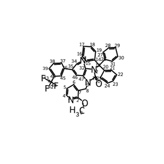 COc1ncccc1Cn1c(=O)n(C(c2ccccc2)(c2ccccc2)c2ccccc2)c2ncc(-c3cccc(C(F)(F)F)c3)cc21